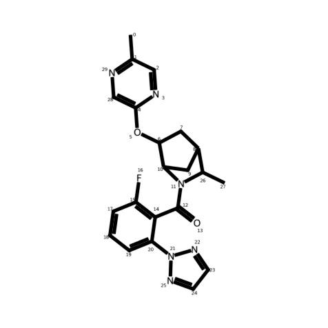 Cc1cnc(OC2CC3CC2N(C(=O)c2c(F)cccc2-n2nccn2)C3C)cn1